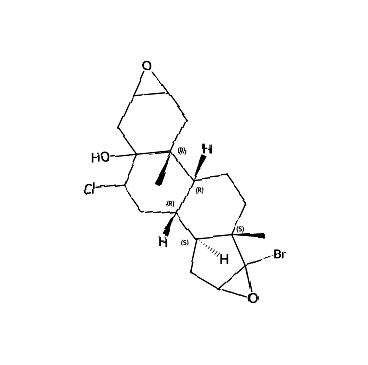 C[C@]12CC[C@@H]3[C@@H](CC(Cl)C4(O)CC5OC5C[C@]34C)[C@@H]1CC1OC12Br